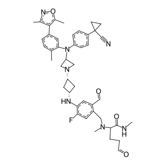 CNC(=O)C(CCC=O)N(C)Cc1cc(F)c(N[C@H]2C[C@@H](N3CC(N(c4ccc(C5(C#N)CC5)cc4)c4cc(-c5c(C)noc5C)ccc4C)C3)C2)cc1C=O